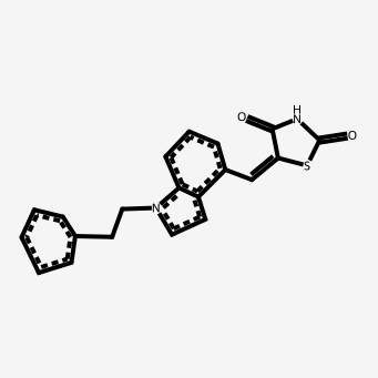 O=C1NC(=O)C(=Cc2cccc3c2ccn3CCc2ccccc2)S1